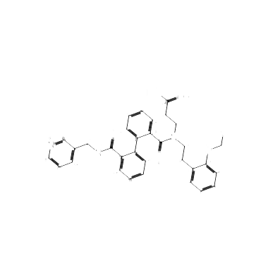 CCOc1ccccc1CCN(CCC(=O)O)C(=O)c1ccccc1-c1ccccc1C(=O)NCc1cccnc1